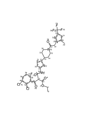 CCOC(=O)C(C(=O)Nc1csc(C2CCN(C(=O)Cn3nc(C(F)(F)F)cc3C)CC2)n1)C(=O)c1c(F)ccc(Cl)c1Cl